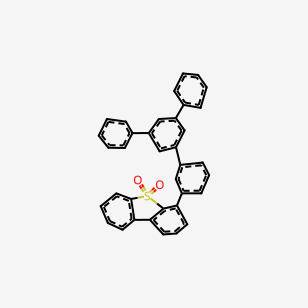 O=S1(=O)c2ccccc2-c2cccc(-c3cccc(-c4cc(-c5ccccc5)cc(-c5ccccc5)c4)c3)c21